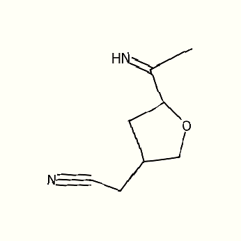 CC(=N)C1CC(CC#N)CO1